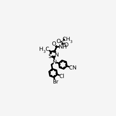 Cc1sc(N(Cc2ccc(Br)c(Cl)c2)c2ccc(C#N)cc2)nc1C(=O)NS(C)(=O)=O